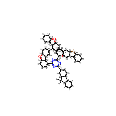 CC1(C)c2ccccc2-c2ccc(-c3nc(-c4ccccc4)nc(-c4cccc5oc6ccc(-c7cc(-c8ccc9c(c8)sc8ccccc89)cc8oc9ccccc9c78)cc6c45)n3)cc21